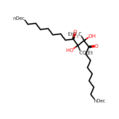 CCCCCCCCCCCCCCCCCC(=O)C(O)(C(=O)OCC)C(O)(C(=O)CCCCCCCCCCCCCCCCC)C(=O)OCC